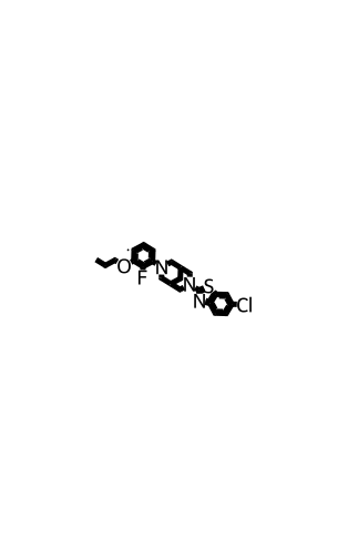 CCCOc1[c]ccc(N2CC3CC(CN(c4nc5ccc(Cl)cc5s4)C3)C2)c1F